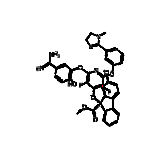 COC(=O)C1(Oc2c(F)c(Oc3cccc(C4=NCCN4C)c3)nc(Oc3cc(C(=N)N)ccc3O)c2F)c2ccccc2-c2ccc(Cl)cc21